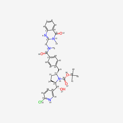 CN(Cc1nc2ccccc2c(=O)n1C)C(=O)c1ccc(C[C@@H]2CC[C@H]([C@H](O)c3ccc(Cl)nc3)N2C(=O)OC(C)(C)C)cc1